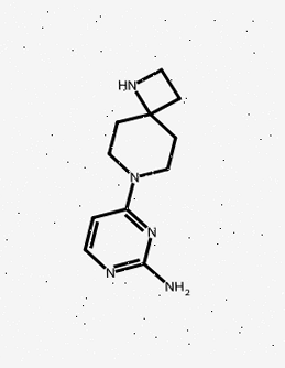 Nc1nccc(N2CCC3(CCN3)CC2)n1